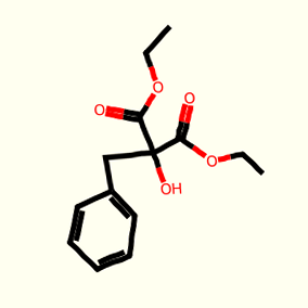 CCOC(=O)C(O)(Cc1ccccc1)C(=O)OCC